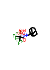 O=C(NCC12CC3CC(CC(C3)C1)C2)C(C(F)(F)F)(C(F)(F)F)S(=O)(=O)O